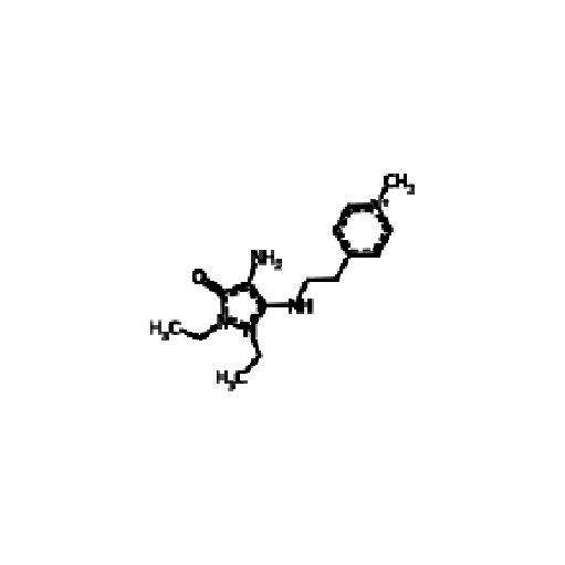 CCn1c(NCCc2cc[n+](C)cc2)c(N)c(=O)n1CC